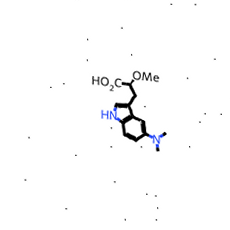 CO[C@@H](Cc1c[nH]c2ccc(N(C)C)cc12)C(=O)O